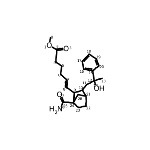 COC(=O)CCCC=CC1C(CC(C)(O)c2ccccc2)C2CCC1(C(N)=O)C2